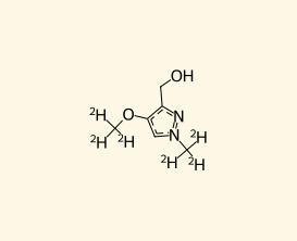 [2H]C([2H])([2H])Oc1cn(C([2H])([2H])[2H])nc1CO